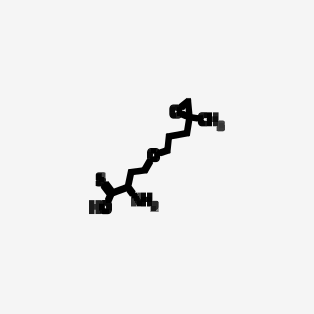 CC1(CCCOCCC(N)C(O)=S)CO1